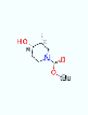 C[C@@H]1CN(C(=O)OC(C)(C)C)CC[C@@H]1O